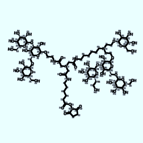 O=C(CN(CC(=O)NCCCCCC(=O)ON1C(=O)CCC1=O)CC(=O)NCCO[C@H]1O[C@H](CO[C@H]2O[C@H](CO)[C@@H](O)[C@H](O)[C@@H]2O)[C@@H](O)[C@H](O[C@H]2O[C@H](CO)[C@@H](O)[C@H](O)[C@@H]2O)[C@@H]1O)NCCCCCCN(CCO[C@H]1O[C@H](CO)[C@@H](O)[C@H](O)[C@@H]1O)CCO[C@H]1O[C@H](CO[C@H]2O[C@H](CO)[C@@H](O)[C@H](O)[C@@H]2O)[C@@H](O)[C@H](O[C@H]2O[C@H](CCO)[C@@H](O)[C@H](O)[C@@H]2O)[C@@H]1O